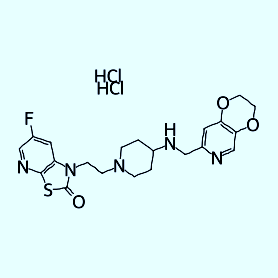 Cl.Cl.O=c1sc2ncc(F)cc2n1CCN1CCC(NCc2cc3c(cn2)OCCO3)CC1